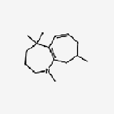 CC1CC=CC2=C(C1)N(C)CCCC2(C)C